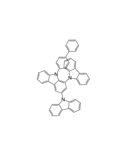 c1ccc(-c2ccc(-n3c4ccccc4c4cc(-n5c6ccccc6c6ccccc65)cc(-n5c6ccccc6c6ccccc65)c43)cc2)cc1